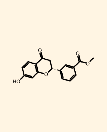 COC(=O)c1cccc([C@H]2CC(=O)c3ccc(O)cc3O2)c1